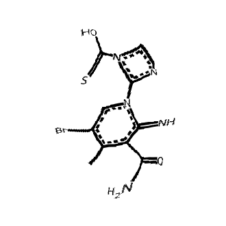 Cc1c(Br)cn(-c2nccn2C(O)=S)c(=N)c1C(N)=O